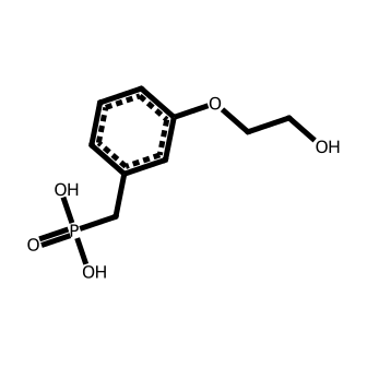 O=P(O)(O)Cc1cccc(OCCO)c1